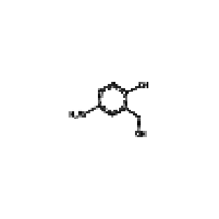 OCc1cc([AsH2])ccc1O